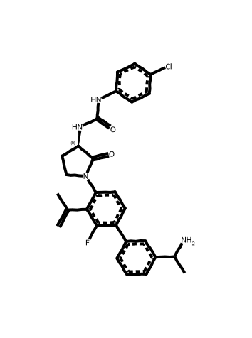 C=C(C)c1c(N2CC[C@@H](NC(=O)Nc3ccc(Cl)cc3)C2=O)ccc(-c2cccc(C(C)N)c2)c1F